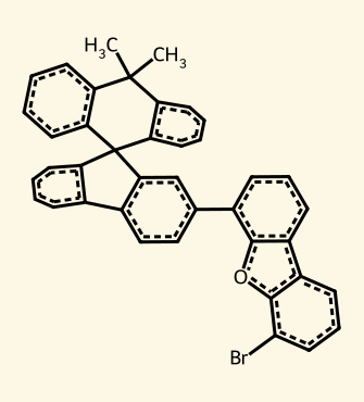 CC1(C)c2ccccc2C2(c3ccccc3-c3ccc(-c4cccc5c4oc4c(Br)cccc45)cc32)c2ccccc21